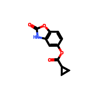 O=C(Oc1ccc2oc(=O)[nH]c2c1)C1CC1